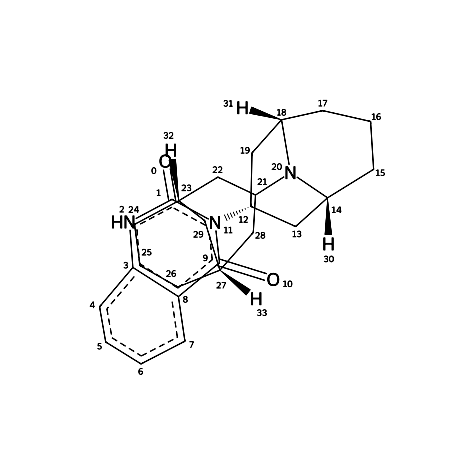 O=c1[nH]c2ccccc2c(=O)n1[C@H]1C[C@H]2CCC[C@@H](C1)N2C1C[C@H]2CCC[C@@H](C1)C2